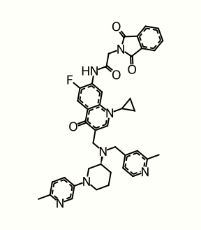 Cc1ccc(N2CCC[C@H](N(Cc3ccnc(C)c3)Cc3cn(C4CC4)c4cc(NC(=O)CN5C(=O)c6ccccc6C5=O)c(F)cc4c3=O)C2)cn1